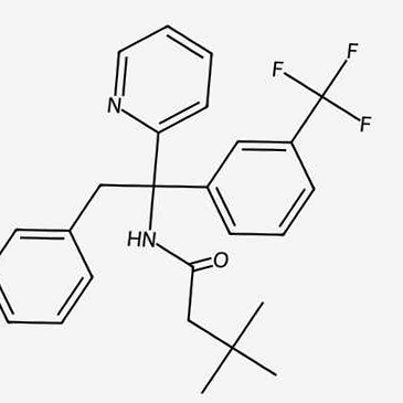 CC(C)(C)CC(=O)NC(Cc1ccccc1)(c1cccc(C(F)(F)F)c1)c1ccccn1